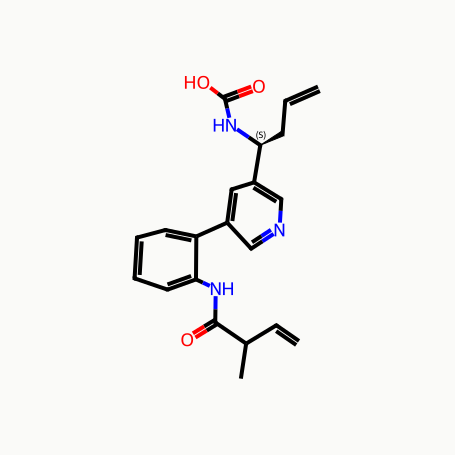 C=CC[C@H](NC(=O)O)c1cncc(-c2ccccc2NC(=O)C(C)C=C)c1